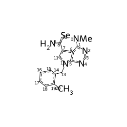 CNc1ncnc2c1c(C(N)=[Se])cn2Cc1ccccc1C